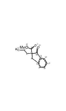 COC(=O)C1(CCC(C)=O)Cc2ccccc2C1=O